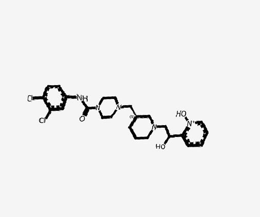 O=C(Nc1ccc(Cl)c(Cl)c1)N1CCN(C[C@@H]2CCCN(CC(O)c3cccc[n+]3O)C2)CC1